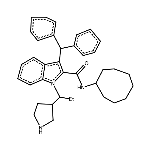 CCC(C1CCNC1)n1c(C(=O)NC2CCCCCCC2)c(C(c2ccccc2)c2ccccc2)c2ccccc21